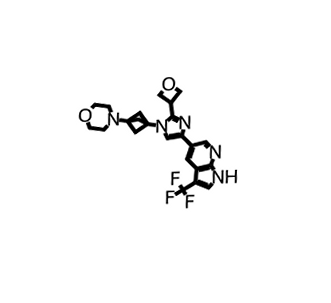 FC(F)(F)c1c[nH]c2ncc(-c3cn(C45CC(N6CCOCC6)(C4)C5)c(C4COC4)n3)cc12